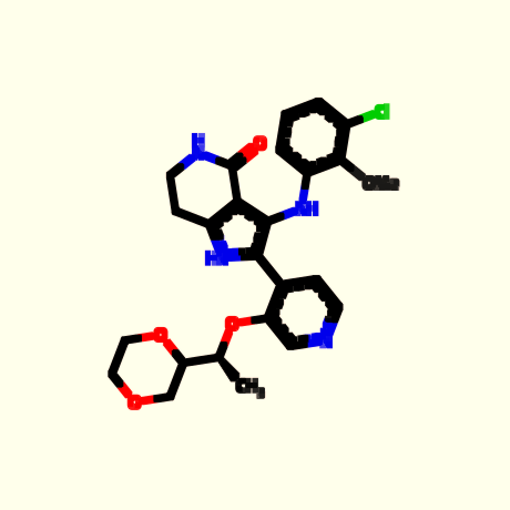 COc1c(Cl)cccc1Nc1c(-c2ccncc2O[C@@H](C)C2COCCO2)[nH]c2c1C(=O)NCC2